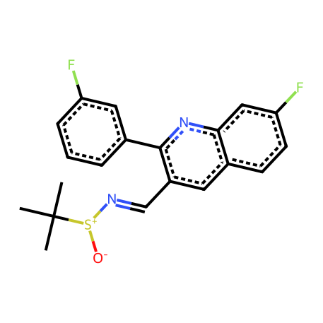 CC(C)(C)[S+]([O-])N=Cc1cc2ccc(F)cc2nc1-c1cccc(F)c1